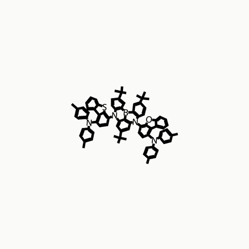 Cc1ccc(N(c2ccc(C)cc2)c2ccc(N3c4ccc(C(C)(C)C)cc4B4c5cc(C(C)(C)C)ccc5N(c5ccc(N(c6ccc(C)cc6)c6ccc(C)cc6)c6c5sc5ccccc56)c5cc(C(C)(C)C)cc3c54)c3oc4ccccc4c23)cc1